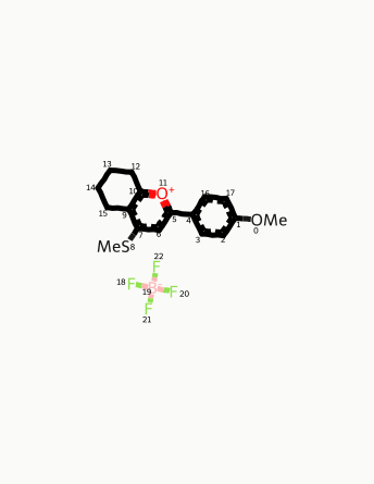 COc1ccc(-c2cc(SC)c3c([o+]2)CCCC3)cc1.F[B-](F)(F)F